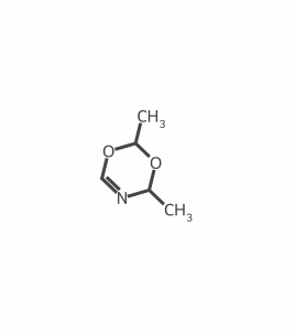 CC1N=COC(C)O1